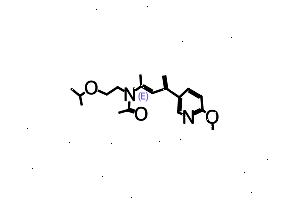 C=C(/C=C(\C)N(CCOC(C)C)C(C)=O)c1ccc(OC)nc1